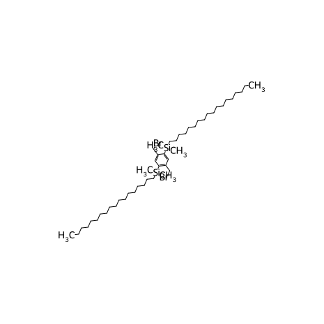 CCCCCCCCCCCCCCCCCC[Si](C)(C)c1cc(CBr)c([Si](C)(C)CCCCCCCCCCCCCCCCCC)cc1CBr